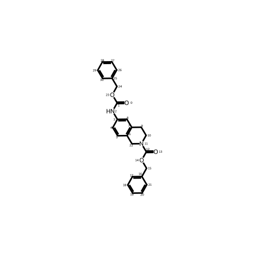 O=C(Nc1ccc2c(c1)CCN(C(=O)OCc1ccccc1)C2)OCc1ccccc1